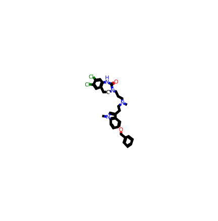 CN(CCCN1CCc2cc(Cl)c(Cl)cc2NC1=O)CCc1cn(C)c2ccc(OCc3ccccc3)cc12